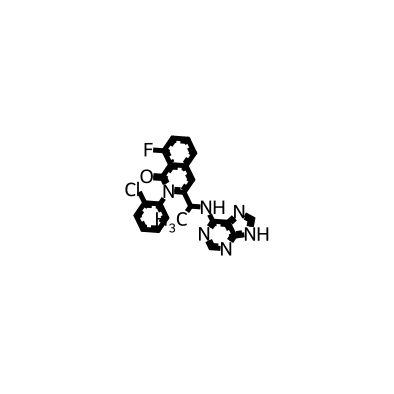 CC(Nc1ncnc2[nH]cnc12)c1cc2cccc(F)c2c(=O)n1-c1ccccc1Cl